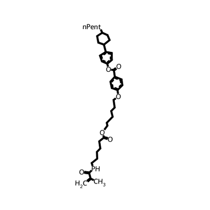 C=C(C)C(=O)PCCCCCC(=O)OCCCCCCOc1ccc(C(=O)Oc2ccc(C3CCC(CCCCC)CC3)cc2)cc1